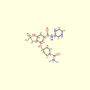 CN(C)C(=O)c1ccc(Oc2cc(C(=O)Nc3cnccn3)cc3c2CC(C)(C)O3)cc1